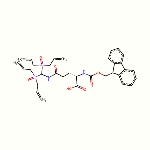 C=CCP(=O)(CC=C)C(NC(=O)CC[C@H](NC(=O)OCC1c2ccccc2-c2ccccc21)C(=O)O)P(=O)(CC=C)CC=C